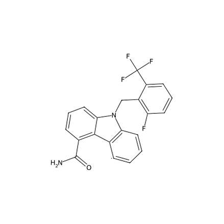 NC(=O)c1cccc2c1c1[c]cccc1n2Cc1c(F)cccc1C(F)(F)F